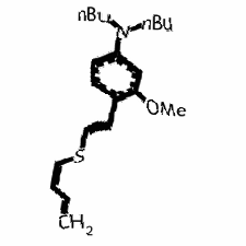 C=C/C=C\SC=Cc1ccc(N(CCCC)CCCC)cc1OC